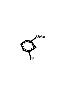 CCCc1[c]ccc(OC)c1